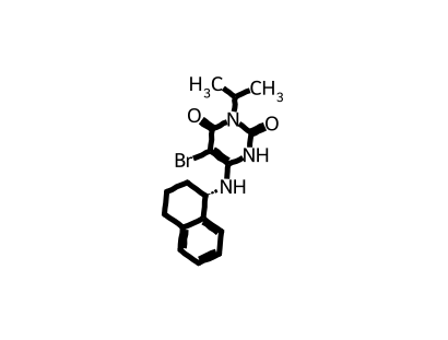 CC(C)n1c(=O)[nH]c(N[C@H]2CCCc3ccccc32)c(Br)c1=O